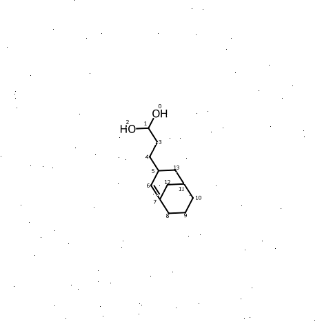 OC(O)CCC1C=C2CCCC(C2)C1